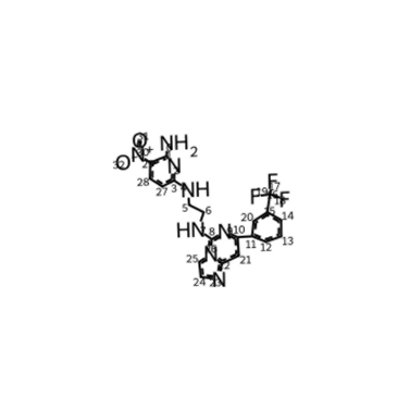 Nc1nc(NCCNc2nc(-c3cccc(C(F)(F)F)c3)cc3nccn23)ccc1[N+](=O)[O-]